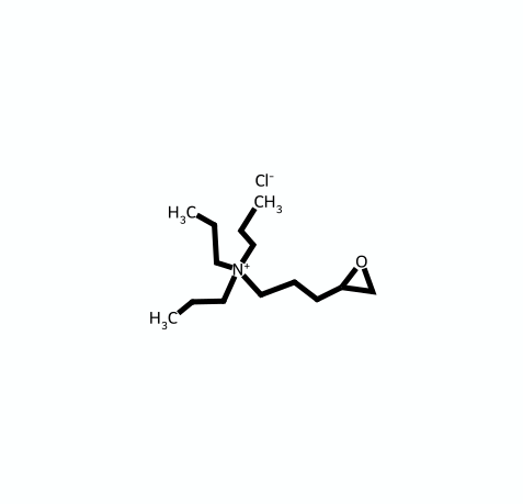 CCC[N+](CCC)(CCC)CCCC1CO1.[Cl-]